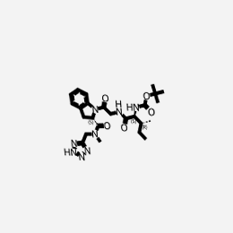 CC[C@@H](C)[C@H](NC(=O)OC(C)(C)C)C(=O)NCC(=O)N1c2ccccc2C[C@H]1C(=O)N(C)Cc1nn[nH]n1